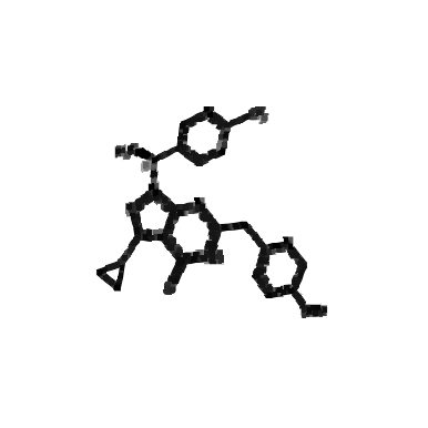 COc1ccc(Cc2nc3c(c(C4CC4)nn3[C@@H](C)c3ccc(C(F)(F)F)nc3)c(=O)[nH]2)nc1